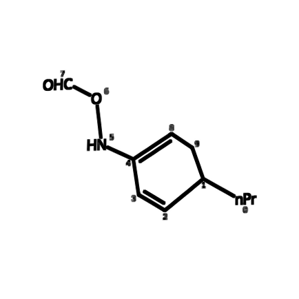 CCCC1C=CC(NOC=O)=CC1